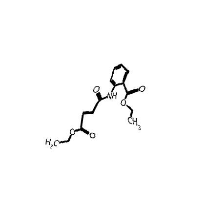 CCOC(=O)CCC(=O)Nc1ccccc1C(=O)OCC